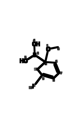 COC1(B(O)O)C=CC=C(F)C1